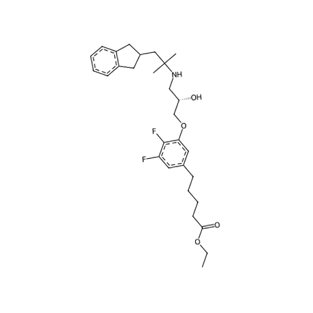 CCOC(=O)CCCCc1cc(F)c(F)c(OC[C@@H](O)CNC(C)(C)CC2Cc3ccccc3C2)c1